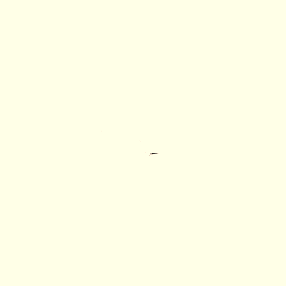 C#CCN(C(=O)OCC(Cl)(Cl)Cl)[C@@H]1CCc2ccccc21